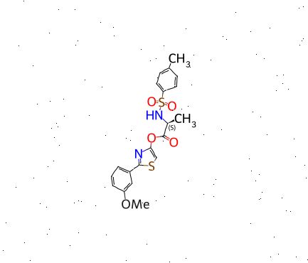 COc1cccc(-c2nc(OC(=O)[C@H](C)NS(=O)(=O)c3ccc(C)cc3)cs2)c1